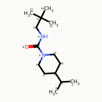 CC(C)C1CCN(C(=O)NCC(C)(C)C)CC1